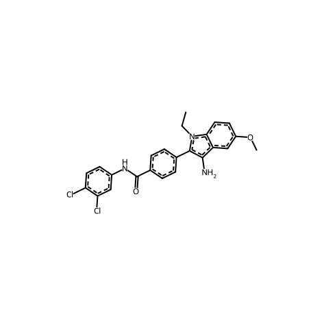 CCn1c(-c2ccc(C(=O)Nc3ccc(Cl)c(Cl)c3)cc2)c(N)c2cc(OC)ccc21